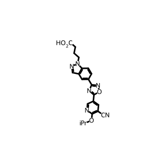 CC(C)Oc1ncc(-c2nc(-c3ccc4c(cnn4CCCC(=O)O)c3)no2)cc1C#N